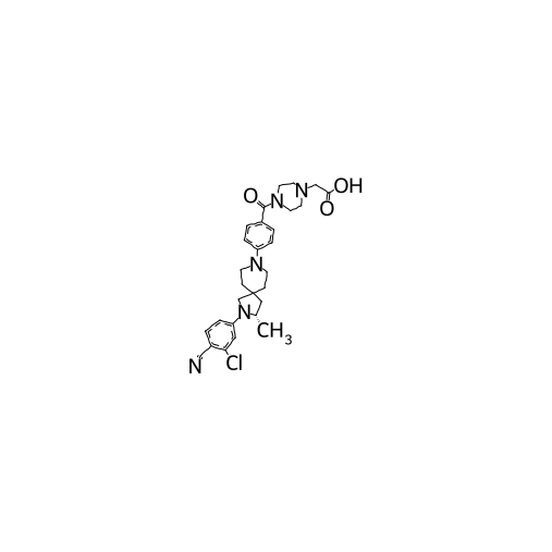 C[C@H]1CC2(CCN(c3ccc(C(=O)N4CCN(CC(=O)O)CC4)cc3)CC2)CN1c1ccc(C#N)c(Cl)c1